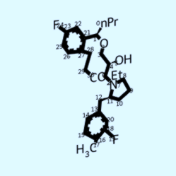 CCC[C@@H](OC[C@H](O)CN1CCC[C@H]1Cc1ccc(C)c(F)c1)c1cc(F)ccc1CCC(=O)OCC